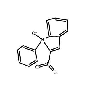 O=P(=O)C1=Cc2ccccc2[N+]1([O-])c1ccccc1